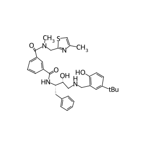 Cc1csc(CN(C)C(=O)c2cccc(C(=O)N[C@@H](Cc3ccccc3)[C@H](O)CNCc3cc(C(C)(C)C)ccc3O)c2)n1